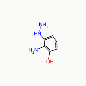 NNc1cccc(O)c1N